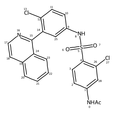 CC(=O)Nc1ccc(S(=O)(=O)Nc2ccc(Cl)c(-c3nccc4ccccc34)c2)c(Cl)c1